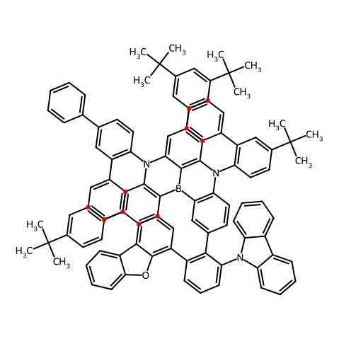 CC(C)(C)c1ccc(-c2ccc3c(c2)N(c2ccc(-c4ccccc4)cc2-c2ccccc2)c2cc(-c4cc(C(C)(C)C)cc(C(C)(C)C)c4)cc4c2B3c2cc(-c3c(-c5cccc6c5oc5ccccc56)cccc3-n3c5ccccc5c5ccccc53)ccc2N4c2ccc(C(C)(C)C)cc2-c2ccccc2)cc1